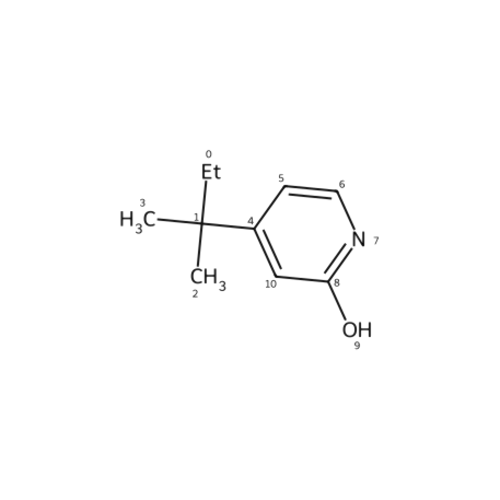 CCC(C)(C)c1ccnc(O)c1